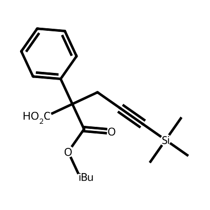 CCC(C)OC(=O)C(CC#C[Si](C)(C)C)(C(=O)O)c1ccccc1